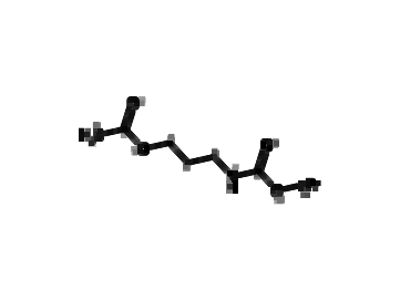 BC(=O)OCCCNC(=O)OCCC